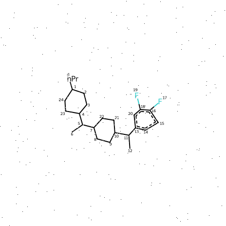 CCCC1CCC(C(C)C2CCC(C(C)c3ccc(F)c(F)c3)CC2)CC1